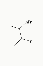 CCCC(C)C(C)Cl